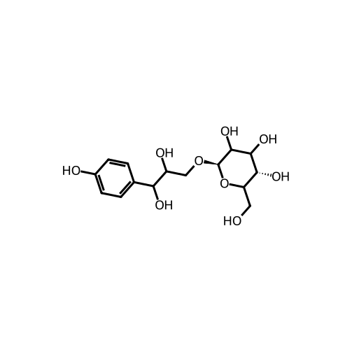 OCC1O[C@@H](OCC(O)C(O)c2ccc(O)cc2)C(O)C(O)[C@@H]1O